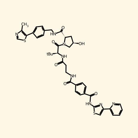 Cc1ncsc1-c1ccc(CNC(=O)[C@@H]2C[C@@H](O)CN2C(=O)[C@@H](NC(=O)CCNC(=O)c2ccc(C(=O)Nc3nc(-c4ccccn4)cs3)cc2)C(C)(C)C)cc1